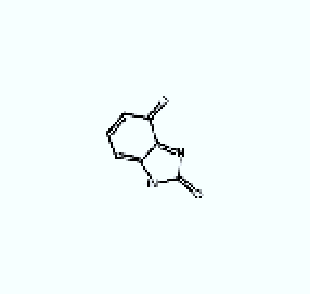 O=C1N=C2C(=S)C=CC=C2N1